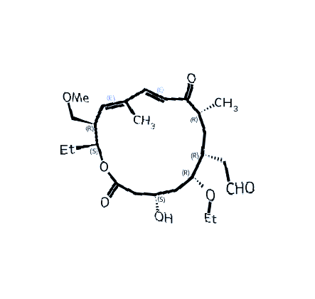 CCO[C@@H]1C[C@H](O)CC(=O)O[C@@H](CC)[C@@H](COC)/C=C(C)/C=C/C(=O)[C@H](C)C[C@@H]1CC=O